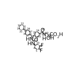 O=C(Nc1ccc(F)c(F)c1)NC(c1ccc(C(=O)NC[C@@H](O)C(=O)O)cc1)c1ccc(C2CCCCC2)cc1